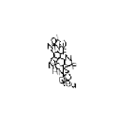 C[C@H](Oc1ncc2c3c(c(-c4ncc(F)c5sc(NC(=O)OC(C)(C)C)c(C#N)c45)c(F)c2n1)COC3)[C@@H]1CCCN1C